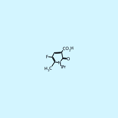 Cc1c(F)cc(C(=O)O)c(=O)n1C(C)C